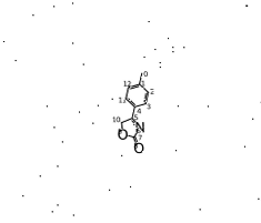 Cc1ccc(C2=NC(=O)OC2)cc1